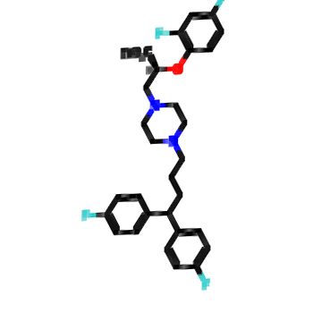 CCOC(=O)[C@H](CN1CCN(CCCC(c2ccc(F)cc2)c2ccc(F)cc2)CC1)Oc1ccc(F)cc1F